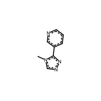 Cn1cnnc1-c1cccnc1